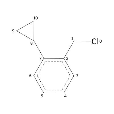 ClCc1ccccc1C1CC1